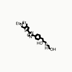 CCN(CC)Cc1sc(-c2nc(-c3ccc(CC(O)CNCCO)cc3)no2)cc1C